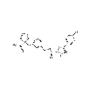 Cc1nc(-c2ccc(Cl)cc2)sc1C(=O)NCc1cccc(CC2(C(=O)O)C=CCO2)c1